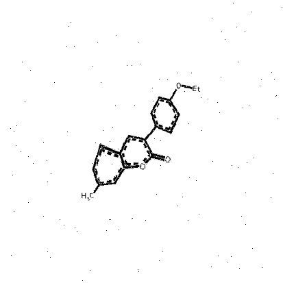 CCOc1ccc(-c2cc3ccc(C)cc3oc2=O)cc1